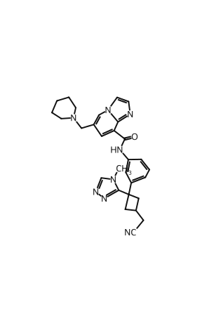 Cn1cnnc1C1(c2cccc(NC(=O)c3cc(CN4CCCCC4)cn4ccnc34)c2)CC(CC#N)C1